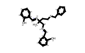 CC(CCSCc1ccccc1)(C/N=C/c1ccccc1O)/N=C/c1ccccc1O